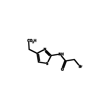 O=C(O)Cc1csc(NC(=O)CBr)n1